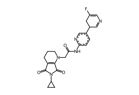 O=C(CN1CCCC2=C1C(=O)N(C1CC1)C2=O)Nc1ccc(C2C=NC=C(F)C2)cn1